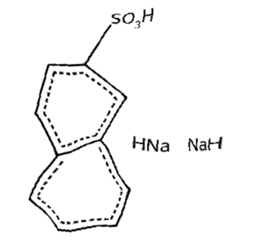 O=S(=O)(O)c1ccc2ccccc2c1.[NaH].[NaH]